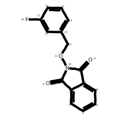 O=C1c2ccccc2C(=O)N1OCc1cccc(F)c1